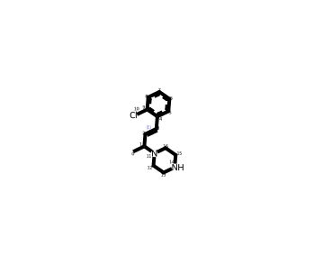 CC(/C=C/c1ccccc1Cl)N1CCNCC1